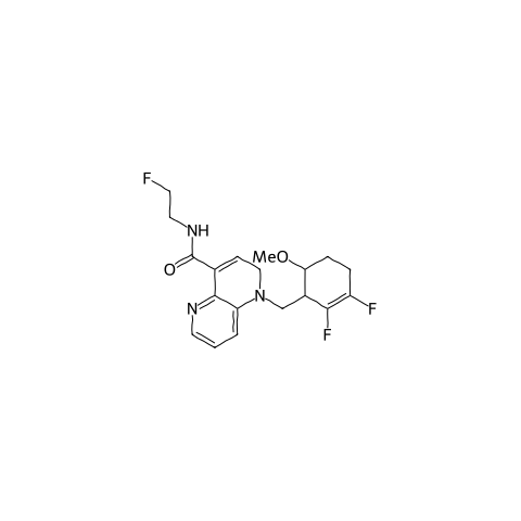 COC1CCC(F)=C(F)C1CN1CC=C(C(=O)NCCF)c2ncccc21